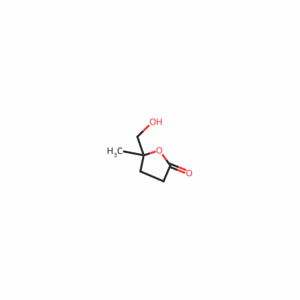 CC1(CO)CCC(=O)O1